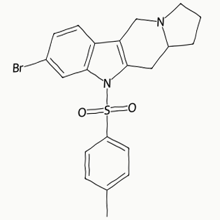 Cc1ccc(S(=O)(=O)n2c3c(c4ccc(Br)cc42)CN2CCCC2C3)cc1